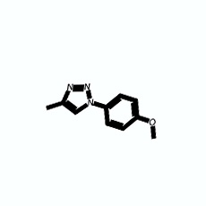 COc1ccc(-n2cc(C)nn2)cc1